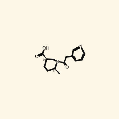 C[C@H]1CC[C@@H](C(=O)O)CN1C(=O)Cc1cccnc1